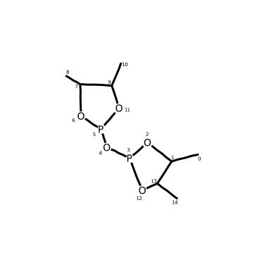 CC1OP(OP2OC(C)C(C)O2)OC1C